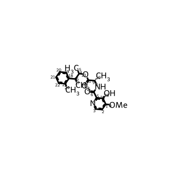 COc1ccnc(C(=O)N[C@@H](C)C(=O)OC(C)C(C)c2ccccc2C)c1O